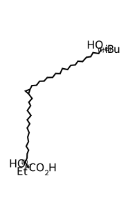 CC[C@H](C)[C@@H](O)CCCCCCCCCCCCCCCCCCC1CC1CCCCCCCCCCCCCCC[C@@H](O)[C@@H](CC)C(=O)O